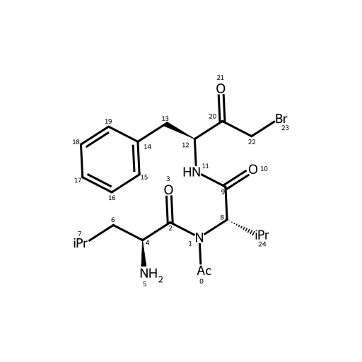 CC(=O)N(C(=O)[C@@H](N)CC(C)C)[C@H](C(=O)N[C@@H](Cc1ccccc1)C(=O)CBr)C(C)C